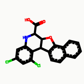 O=C(O)C1Nc2cc(Cl)cc(Cl)c2C2c3ccc4ccccc4c3OC12